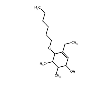 CCCCCCOC1C(CC)=CC(O)C(C)C1C